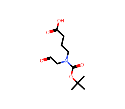 CC(C)(C)OC(=O)N(CC=O)CCCC(=O)O